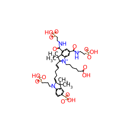 CC1(C)C(/C=C/CC/C=C2/N(CCCS(=O)(=O)O)c3ccc(S(=O)(=O)O)cc3C2(C)C)=[N+](CCCCCC(=O)O)c2cc(C(=O)NCCS(=O)(=O)O)cc(C(=O)NCCS(=O)(=O)O)c21